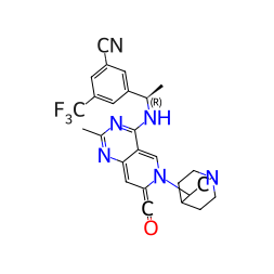 Cc1nc(N[C@H](C)c2cc(C#N)cc(C(F)(F)F)c2)c2c(n1)=CC(=C=O)N(C1CN3CCC1CC3)C=2